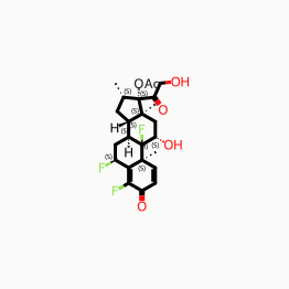 CC(=O)O[C@@]1(C(=O)CO)[C@@H](C)C[C@H]2[C@@H]3C[C@H](F)C4=C(F)C(=O)C=C[C@]4(C)[C@@]3(F)[C@@H](O)C[C@@]21C